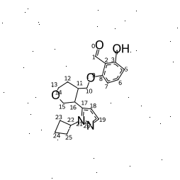 O=Cc1c(O)cccc1OCC1CCOCC1c1ccnn1C1CCC1